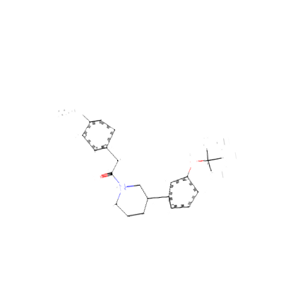 COc1ccc(CC(=O)N2CCCC(c3cccc(OC(C)(C)C(=O)O)c3)C2)cc1